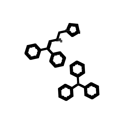 C([SiH2]Cn1ccnc1)=C(c1ccccc1)c1ccccc1.c1ccc(B(c2ccccc2)c2ccccc2)cc1